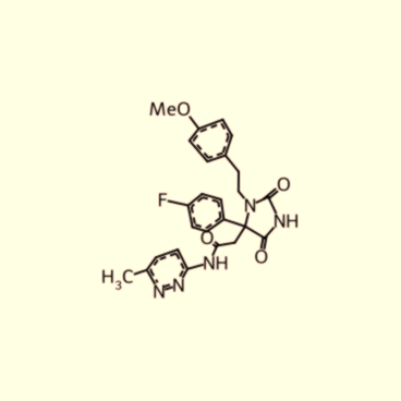 COc1ccc(CCN2C(=O)NC(=O)C2(CC(=O)Nc2ccc(C)nn2)c2ccc(F)cc2)cc1